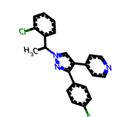 CC(c1ccccc1Cl)n1cc(-c2ccncc2)c(-c2ccc(F)cc2)n1